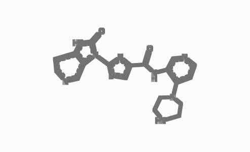 O=C(Nc1cnccc1N1CCNCC1)c1csc(-n2c(=O)[nH]c3ccncc32)n1